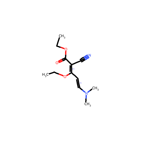 CCOC(=O)/C(C#N)=C(/C=C/N(C)C)OCC